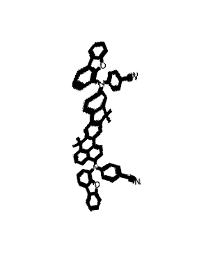 CC1(C)c2cc(N(c3ccc(C#N)cc3)c3cccc4c3oc3ccccc34)ccc2-c2cc3c(cc21)-c1ccc(N(c2ccc(C#N)cc2)c2cccc4c2oc2ccccc24)c2cccc(c12)C3(C)C